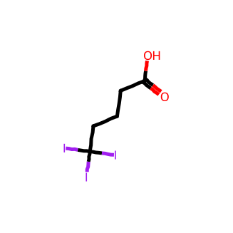 O=C(O)CCCC(I)(I)I